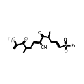 C=C(C(=O)C(C)C/C=C(\C#N)C(=O)C(C)CC=CS(=O)(=O)C(C)C)C(F)(F)F